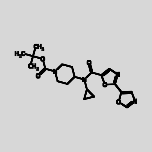 CC(C)(C)OC(=O)N1CCC(N(C(=O)c2cnc(-c3cnco3)o2)C2CC2)CC1